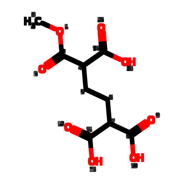 COC(=O)C(CCC(C(=O)O)C(=O)O)C(=O)O